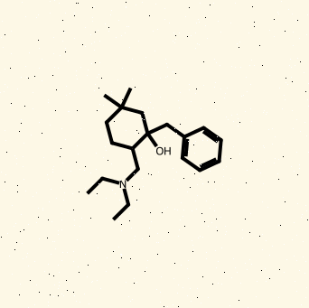 CCN(CC)CC1CCC(C)(C)CC1(O)Cc1ccccc1